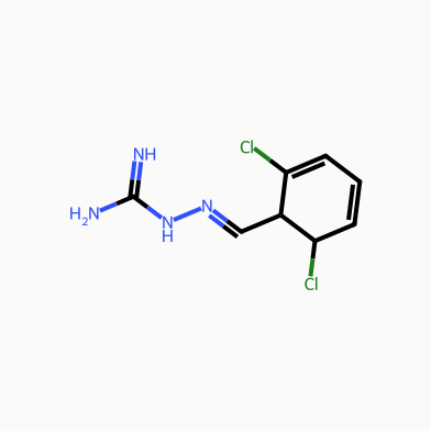 N=C(N)N/N=C/C1C(Cl)=CC=CC1Cl